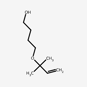 C=CC(C)(C)OCCCCO